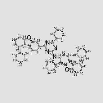 c1ccc(-c2nc(-c3ccc4c(c3)oc3cccc(-c5ccccc5)c34)nc(-n3c4ccccc4c4c5oc6cccc(-c7ccccc7)c6c5ccc43)n2)cc1